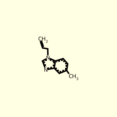 C=CCn1cnc2cc(C)ccc21